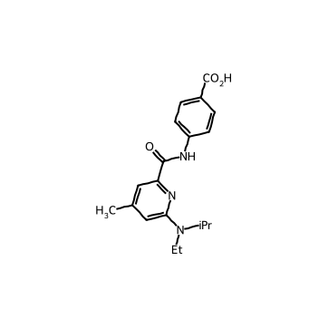 CCN(c1cc(C)cc(C(=O)Nc2ccc(C(=O)O)cc2)n1)C(C)C